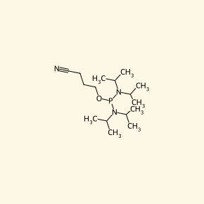 CC(C)N(C(C)C)P(OCCCC#N)N(C(C)C)C(C)C